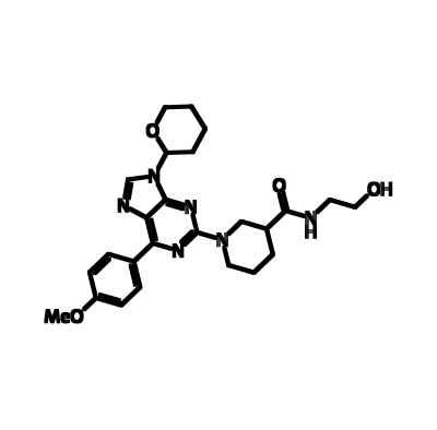 COc1ccc(-c2nc(N3CCCC(C(=O)NCCO)C3)nc3c2ncn3C2CCCCO2)cc1